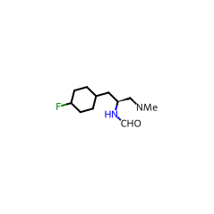 CNC[C@H](CC1CCC(F)CC1)NC=O